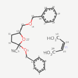 N#CC1(OCc2ccccc2)CCC(COCc2ccccc2)O1.O=C(O)/C=C\C(=O)O